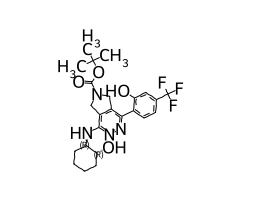 CC(C)(C)OC(=O)N1Cc2c(N[C@@H]3CCCC[C@H]3O)nnc(-c3ccc(C(F)(F)F)cc3O)c2C1